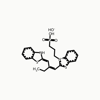 CCC(=Cc1sc2ccccc2[n+]1CCCS(=O)(=O)O)C=C1Nc2ccccc2S1.[OH-]